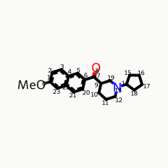 COc1ccc2cc(C(=O)C3CCCN(C4CCCC4)C3)ccc2c1